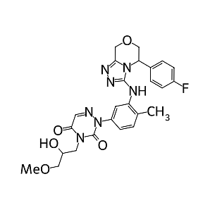 COCC(O)Cn1c(=O)cnn(-c2ccc(C)c(Nc3nnc4n3C(c3ccc(F)cc3)COC4)c2)c1=O